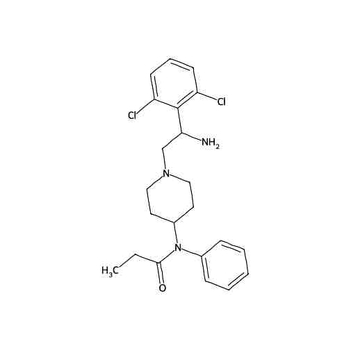 CCC(=O)N(c1ccccc1)C1CCN(CC(N)c2c(Cl)cccc2Cl)CC1